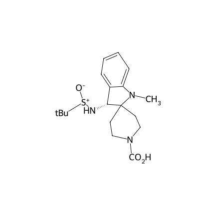 CN1c2ccccc2[C@@H](N[S+]([O-])C(C)(C)C)C12CCN(C(=O)O)CC2